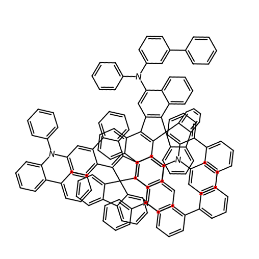 c1ccc(-c2cccc(N(c3ccccc3)c3cc4c(c5ccccc35)C3(c5ccccc5-c5ccccc53)c3c-4c4ccccc4c4cc(N(c5ccccc5)c5cccc(-c6cccc(-c7cccc(-c8ccccc8N(c8ccccc8)c8cc9c(c%10ccccc8%10)C8(c%10ccccc%10-c%10ccccc%108)c8c-9c9ccccc9c9cc(N(c%10ccccc%10)c%10ccccc%10-c%10ccccc%10)ccc89)c7)c6)c5)ccc34)c2)cc1